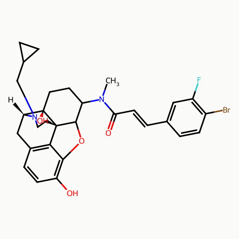 CN(C(=O)/C=C/c1ccc(Br)c(F)c1)C1CC[C@@]2(O)[C@H]3Cc4ccc(O)c5c4[C@@]2(CCN3CC2CC2)C1O5